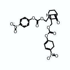 O=C(OCC1(COC(=O)Oc2ccc([N+](=O)[O-])cc2)C(=O)C2CCN1CC2)OC1=CC=C([N+](=O)[O-])CC1